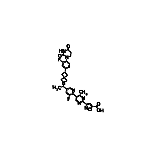 Cc1nc(-c2cc(C(=O)O)on2)ncc1-c1ncc(C(C)N2CC3(CC(c4ccc(N5CCC(=O)NC5=O)c(F)c4)C3)C2)cc1F